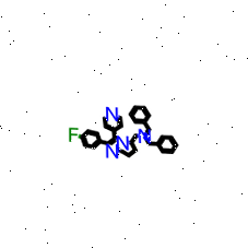 Fc1ccc(-c2nc3n(c2-c2ccncc2)C(CN(Cc2ccccc2)Cc2ccccc2)CC3)cc1